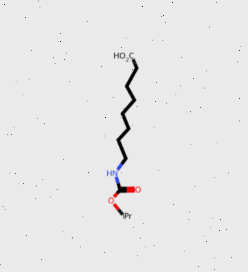 CC(C)OC(=O)NCCCCCCCC(=O)O